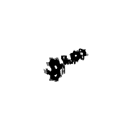 O=C(Nc1ccc2c(c1)OCCO2)Nc1cccc2c(I)cccc12